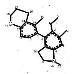 CCc1c(C)cc2c(c1-c1ccc3c(c1C)CCCO3)CCN2C